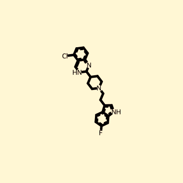 Fc1ccc2c(CCN3CCC(C4N=c5cccc(Cl)c5=CN4)CC3)c[nH]c2c1